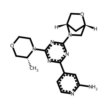 C[C@@H]1COCCN1c1nc(-c2ccnc(N)c2)nc(N2C[C@@H]3C[C@H]2CO3)n1